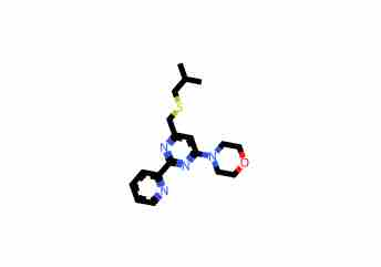 CC(C)CSCc1cc(N2CCOCC2)nc(-c2ccccn2)n1